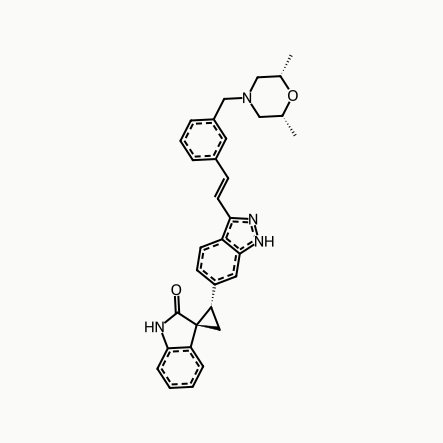 C[C@@H]1CN(Cc2cccc(C=Cc3n[nH]c4cc([C@@H]5C[C@@]56C(=O)Nc5ccccc56)ccc34)c2)C[C@H](C)O1